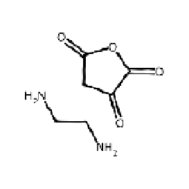 NCCN.O=C1CC(=O)C(=O)O1